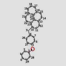 c1ccc(Oc2ccc(Cc3ccc4ccc5cccc6ccc3c4c56)cc2)cc1